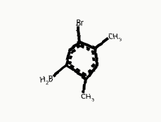 Bc1cc(Br)c(C)cc1C